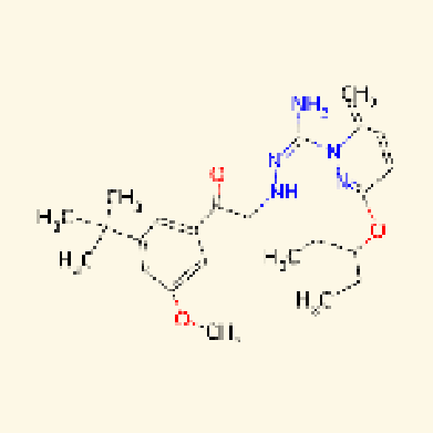 C=C1C=CC(OC(CC)CC)=NN1/C(N)=N\NCC(=O)c1cc(OC)cc(C(C)(C)C)c1